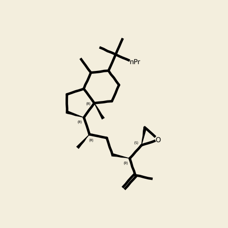 C=C(C)[C@@H](CC[C@@H](C)[C@H]1CCC2C(C)C(C(C)(C)CCC)CC[C@@]21C)[C@H]1CO1